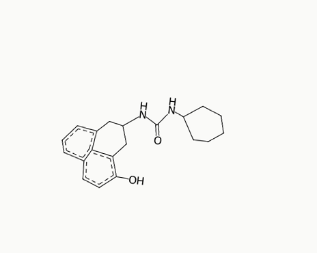 O=C(NC1CCCCC1)NC1Cc2cccc3ccc(O)c(c23)C1